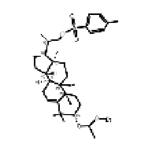 CCOC(C)O[C@H]1CC[C@]2(C)C(=CC[C@H]3[C@@H]4CC[C@@H]([C@H](C)COS(=O)(=O)c5ccc(C)cc5)[C@@]4(C)CC[C@@H]32)C1(C)C